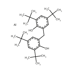 CC(C)(C)c1cc(Cc2cc(C(C)(C)C)cc(C(C)(C)C)c2O)c(O)c(C(C)(C)C)c1.[Al]